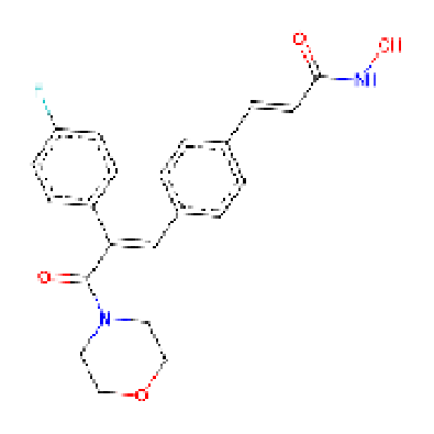 O=C(/C=C/c1ccc(/C=C(/C(=O)N2CCOCC2)c2ccc(F)cc2)cc1)NO